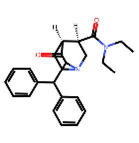 CCN(CC)C(=O)[C@H]1CN2CC[C@@H]1C(=O)C2C(c1ccccc1)c1ccccc1